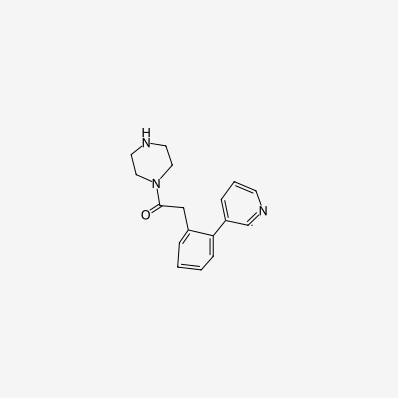 O=C(Cc1ccccc1-c1[c]nccc1)N1CCNCC1